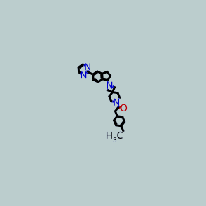 CCc1ccc(CC(=O)N2CCC3(CC2)CN(C2CCc4cc(-c5ncccn5)ccc42)C3)cc1